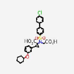 O=C(O)CN(C1(C(=O)O)CC1c1cccc(OC2CCCCC2)c1)S(=O)(=O)c1ccc(-c2ccc(Cl)cc2)cc1